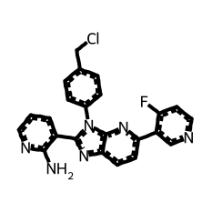 Nc1ncccc1-c1nc2ccc(-c3cnccc3F)nc2n1-c1ccc(CCl)cc1